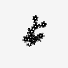 C[C@H]1C(=S)N2[C@@H]1SC(C)(C)[C@]2(NC(=O)C(NC(=O)N1CCN(Cc2ccc(OCc3ccccc3)c(OCc3ccccc3)c2)C(=O)C1=O)c1ccccc1)C(=O)OCc1ccccc1